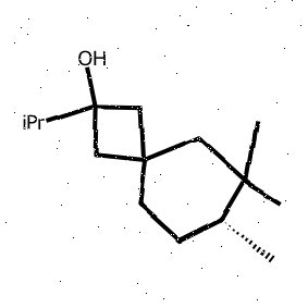 CC(C)C1(O)CC2(CC[C@@H](C)C(C)(C)C2)C1